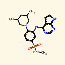 CNS(=O)(=O)c1ccc(N2CC(C)CC(C)C2)c(Nc2ncnc3[nH]ccc23)c1